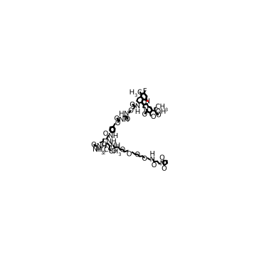 CC[C@@]1(O)C(=O)OCc2c1cc1n(c2=O)Cc2c-1nc1cc(F)c(C)c3c1c2[C@@H](NC(=O)COCNC(=O)CNC(=O)OCc1ccc(NC(=O)[C@H](CCCNC(N)=O)NC(=O)[C@@H](NC(=O)CCOCCOCCOCCOCCNC(=O)CCN2C(=O)C=CC2=O)C(C)C)cc1)CC3